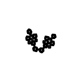 c1ccc(N2c3cccc4c3B3c5c(cc(-c6cccc(-c7cccc(-c8cc9c%10c(c8)Oc8cccc%11c8B%10c8c(cccc8N%11c8ccccc8)O9)c7)c6)cc5Oc5cccc2c53)O4)cc1